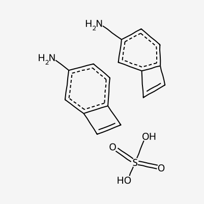 Nc1ccc2c(c1)C=C2.Nc1ccc2c(c1)C=C2.O=S(=O)(O)O